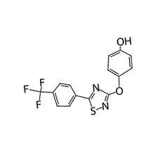 Oc1ccc(Oc2nsc(-c3ccc(C(F)(F)F)cc3)n2)cc1